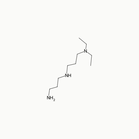 CCN(CC)CCCNCCCN